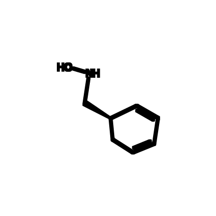 ONC[C@H]1C=CC=CC1